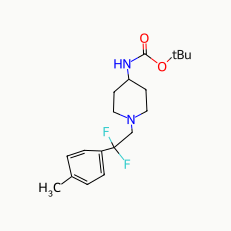 Cc1ccc(C(F)(F)CN2CCC(NC(=O)OC(C)(C)C)CC2)cc1